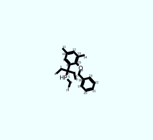 CCC(CC)(PCI)c1cc(C)cc(C)c1OCc1ccccc1